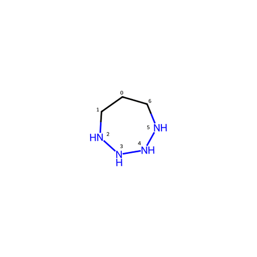 C1CNNNNC1